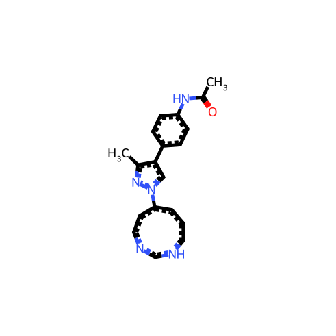 CC(=O)Nc1ccc(-c2cn(-c3ccc[nH]cncc3)nc2C)cc1